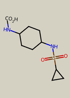 O=C(O)NC1CCC(NS(=O)(=O)C2CC2)CC1